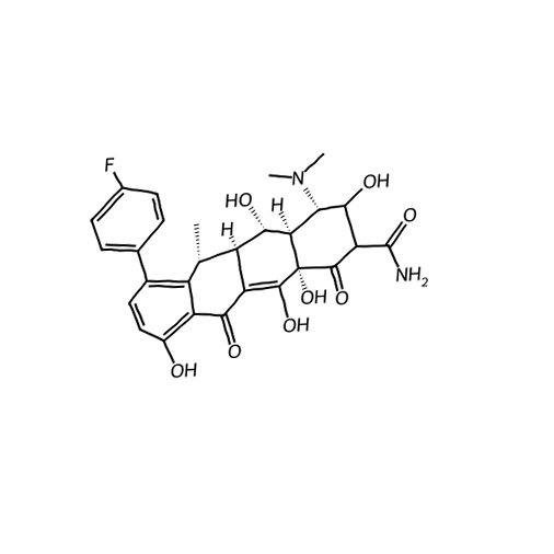 C[C@H]1c2c(-c3ccc(F)cc3)ccc(O)c2C(=O)C2=C(O)[C@]3(O)C(=O)C(C(N)=O)C(O)[C@@H](N(C)C)[C@@H]3[C@@H](O)[C@@H]21